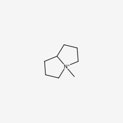 C[N+]12CCCC1CCC2